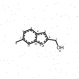 Cc1ccc2cc(CO)sc2c1